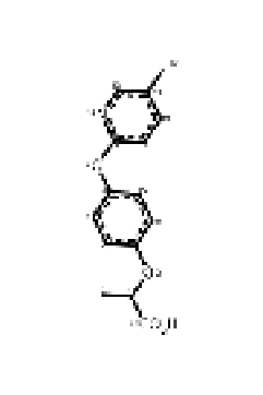 CC(Oc1ccc(Oc2ccc(I)cn2)cc1)C(=O)O